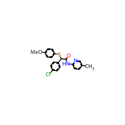 COc1ccc(SC(C(=O)Nc2ccc(C)cn2)c2ccc(Cl)cc2)cc1